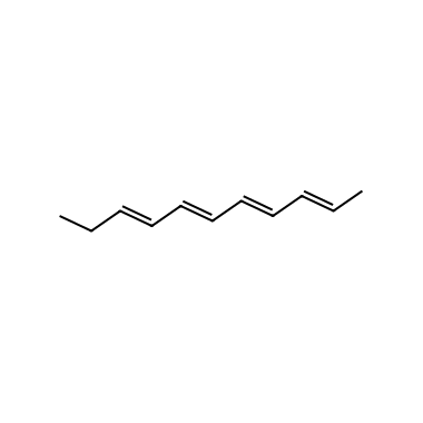 CC=CC=CC=CC=CCC